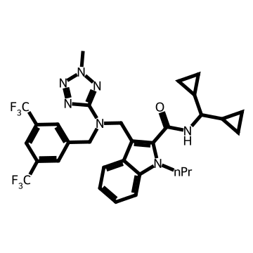 CCCn1c(C(=O)NC(C2CC2)C2CC2)c(CN(Cc2cc(C(F)(F)F)cc(C(F)(F)F)c2)c2nnn(C)n2)c2ccccc21